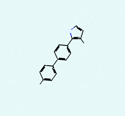 Cc1cc[nH]c1-c1ccc(-c2ccc(C(F)(F)F)cc2)cc1